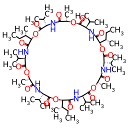 CC[C@H](C)[C@H]1OC(=O)[C@H](C(C)C)NC(=O)[C@H](C)OC(=O)[C@@H](C(C)C)NC(=O)[C@@H]([C@@H](C)CC)OC(=O)[C@H](C(C)C)NC(=O)[C@H](C)OC(=O)[C@@H](C(C)C)NC(=O)[C@@H]([C@@H](C)CC)OC(=O)[C@H](C(C)C)NC(=O)[C@H](C)OC(=O)[C@@H](C(C)C)NC1=O